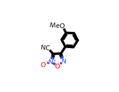 COc1cccc(-c2no[n+]([O-])c2C#N)c1